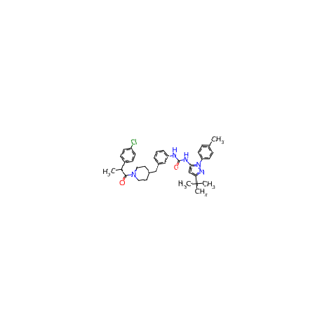 Cc1ccc(-n2nc(C(C)(C)C)cc2NC(=O)Nc2cccc(CC3CCN(C(=O)C(C)c4ccc(Cl)cc4)CC3)c2)cc1